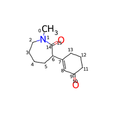 CN1CCCCC(C2=CC(=O)CCC2)C1=O